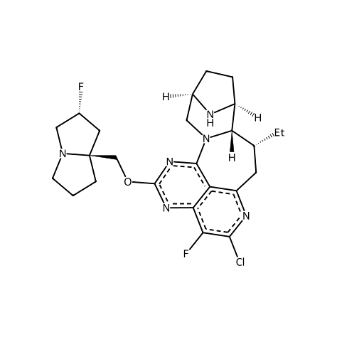 CC[C@@H]1Cc2nc(Cl)c(F)c3nc(OC[C@@]45CCCN4C[C@H](F)C5)nc(c23)N2C[C@H]3CC[C@H](N3)[C@H]12